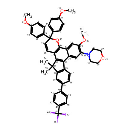 COc1ccc(C2(c3ccc(OC)cc3)C=Cc3c4c(c5cc(N6CCOCC6)c(OC)cc5c3O2)-c2ccc(-c3ccc(C(I)(I)I)cc3)cc2C4(C)C)cc1